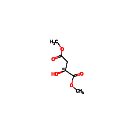 COC(=O)C[C@H](O)C(=O)OC